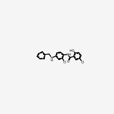 O=C(Nc1ccc(NCc2ccccc2)cc1Cl)c1cc(Cl)ccc1O